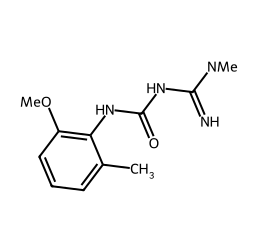 CNC(=N)NC(=O)Nc1c(C)cccc1OC